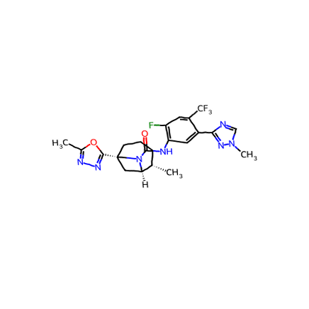 Cc1nnc([C@@]23CCC[C@H](C)[C@@H](C2)N3C(=O)Nc2cc(-c3ncn(C)n3)c(C(F)(F)F)cc2F)o1